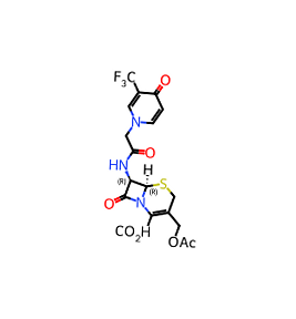 CC(=O)OCC1=C(C(=O)O)N2C(=O)[C@@H](NC(=O)Cn3ccc(=O)c(C(F)(F)F)c3)[C@H]2SC1